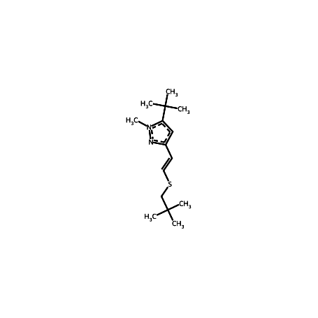 Cn1nc(/C=C/SCC(C)(C)C)cc1C(C)(C)C